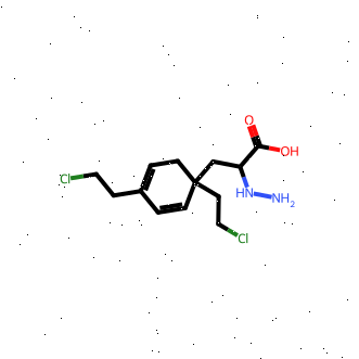 NNC(CC1(CCCl)C=CC(CCCl)=CC1)C(=O)O